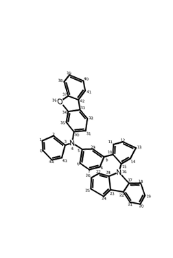 c1ccc(N(c2cccc(-c3ccccc3-n3c4ccccc4c4ccccc43)c2)c2ccc3c(c2)oc2ccccc23)cc1